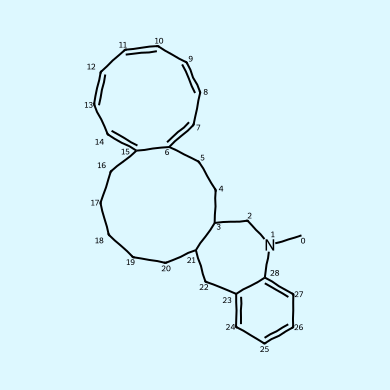 CN1CC2CCc3ccccccccc3CCCCCC2Cc2ccccc21